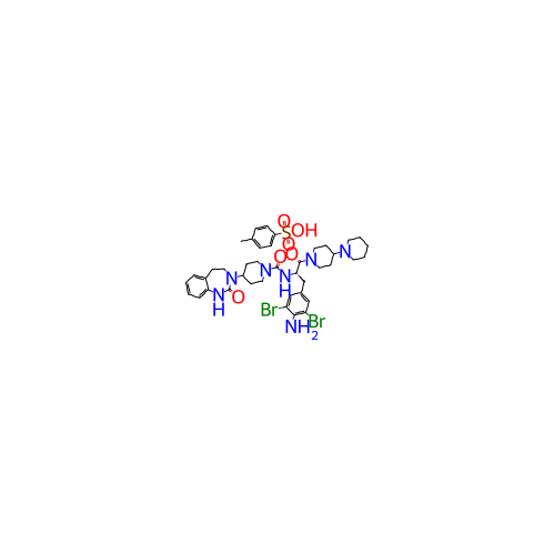 Cc1ccc(S(=O)(=O)O)cc1.Nc1c(Br)cc(C[C@@H](NC(=O)N2CCC(N3CCc4ccccc4NC3=O)CC2)C(=O)N2CCC(N3CCCCC3)CC2)cc1Br